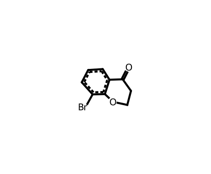 O=C1CCOc2c(Br)cccc21